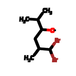 CC(C)C([O])CC(C)C(Br)Br